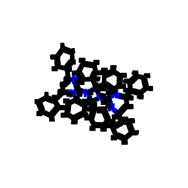 c1ccc(-c2cc(-c3ccccc3)nc(N3[Si](c4ccccc4)(c4ccccc4)N(c4nc(-c5ccccc5)cc(-c5ccccc5)n4)[Si]3(c3ccccc3)c3ccccc3)n2)cc1